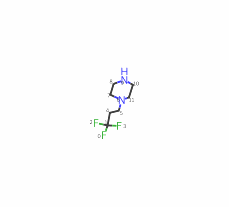 FC(F)(F)CCN1CCNCC1